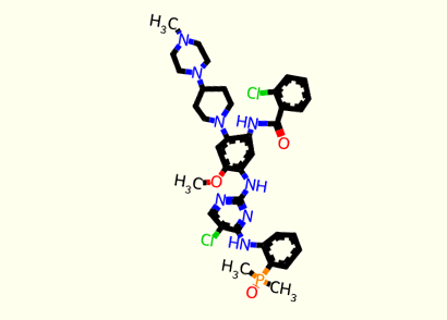 COc1cc(N2CCC(N3CCN(C)CC3)CC2)c(NC(=O)c2ccccc2Cl)cc1Nc1ncc(Cl)c(Nc2ccccc2P(C)(C)=O)n1